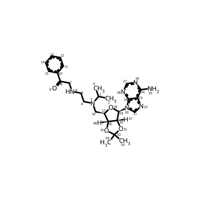 CC(C)N(CCNCC(=O)c1ccccc1)C[C@H]1O[C@@H](n2cnc3c(N)ncnc32)[C@@H]2OC(C)(C)O[C@@H]21